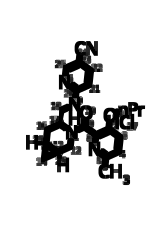 CCCOc1ccc(C)nc1C(=O)N1C[C@@H]2C[C@@H]2C[C@H]1CNc1ccc(C#N)cn1.Cl